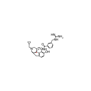 N=C(N)NCc1cccc(C(=O)N[C@@H]2CCC3C4c5c6ccc(O)c5OC2C4CN(CC2CC2)C3C6)c1